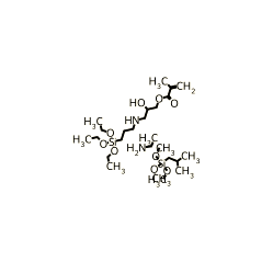 C=C(C)C(=O)OCC(O)CNCCC[Si](OCC)(OCC)OCC.CCN.CO[Si](CC(C)C)(OC)OC